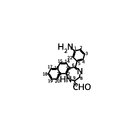 Nc1cccc(C2=NCC(C=O)Nc3c2ccc2ccccc32)c1